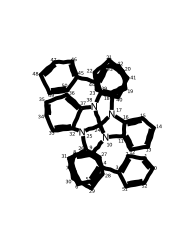 c1ccc(-c2ccccc2N2c3ccccc3N(c3ccccc3)C23N(c2ccccc2)c2ccccc2N3c2ccccc2-c2ccccc2)cc1